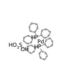 O=S(=O)(O)O.c1ccc([PH]([Pd][PH](c2ccccc2)(c2ccccc2)c2ccccc2)(c2ccccc2)c2ccccc2)cc1